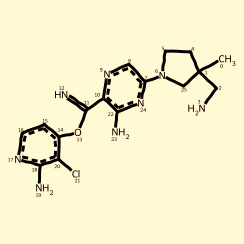 CC1(CN)CCN(c2cnc(C(=N)Oc3ccnc(N)c3Cl)c(N)n2)C1